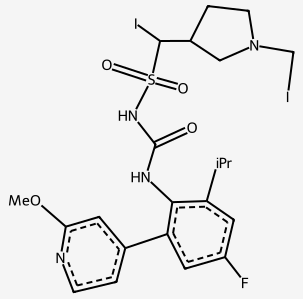 COc1cc(-c2cc(F)cc(C(C)C)c2NC(=O)NS(=O)(=O)C(I)C2CCN(CI)C2)ccn1